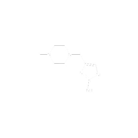 CCN1CCN(Cc2c[nH]c(N)n2)CC1